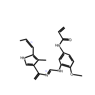 C=CC(=O)Nc1ccc(OC)c(N/C=N/C(=C)c2c[nH]c(/C=C\C)c2C)c1